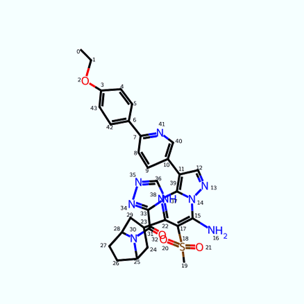 CCOc1ccc(-c2ccc(-c3cnn4c(N)c(S(C)(=O)=O)c(C5CC6CCC(C5)N6C(=O)c5nnc[nH]5)nc34)cn2)cc1